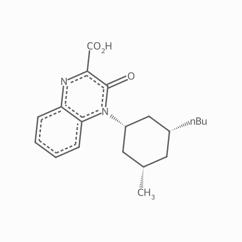 CCCC[C@@H]1C[C@H](C)C[C@H](n2c(=O)c(C(=O)O)nc3ccccc32)C1